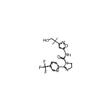 CC(C)(CO)c1cc(NC(=O)N2CCN=C2c2ccc(C(F)(F)F)cn2)on1